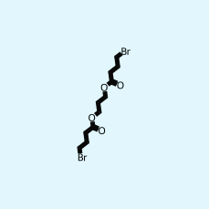 O=C(CCCBr)OCCCOC(=O)CCCBr